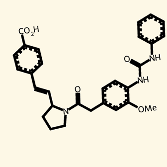 COc1cc(CC(=O)N2CCCC2C=Cc2ccc(C(=O)O)cc2)ccc1NC(=O)Nc1ccccc1